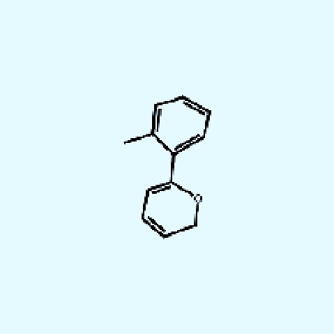 Cc1ccccc1C1=CC=CCO1